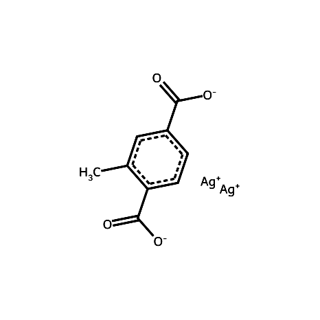 Cc1cc(C(=O)[O-])ccc1C(=O)[O-].[Ag+].[Ag+]